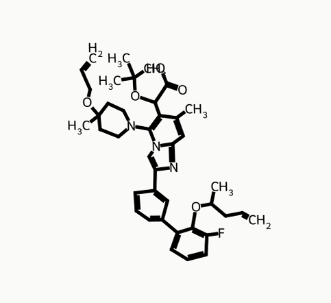 C=CCOC1(C)CCN(c2c(C(OC(C)(C)C)C(=O)O)c(C)cc3nc(-c4cccc(-c5cccc(F)c5OC(C)CC=C)c4)cn23)CC1